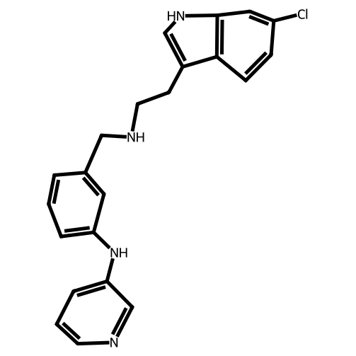 Clc1ccc2c(CCNCc3cccc(Nc4cccnc4)c3)c[nH]c2c1